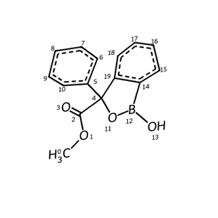 COC(=O)C1(c2ccccc2)OB(O)c2ccccc21